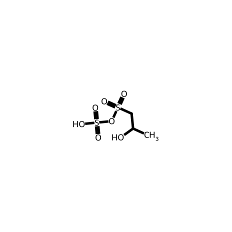 CC(O)CS(=O)(=O)OS(=O)(=O)O